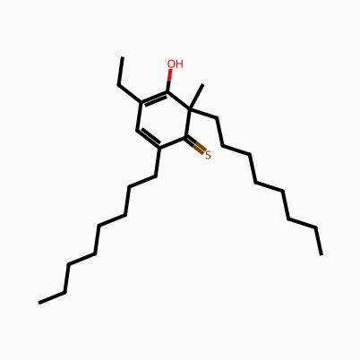 CCCCCCCCC1=CC(CC)=C(O)C(C)(CCCCCCCC)C1=S